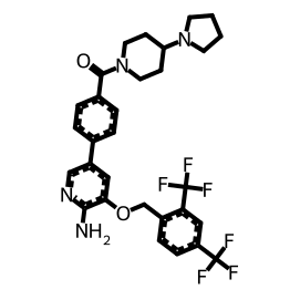 Nc1ncc(-c2ccc(C(=O)N3CCC(N4CCCC4)CC3)cc2)cc1OCc1ccc(C(F)(F)F)cc1C(F)(F)F